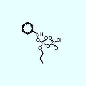 CCCOP(=O)(ONc1ccccc1)OS(=O)(=O)O